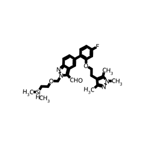 Cc1nn(C)c(C)c1CCOc1cc(F)ccc1-c1ccc2nn(COCC[SiH](C)C)c(C=O)c2c1